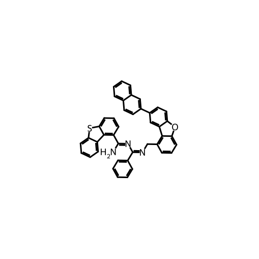 N/C(=N\C(=N/Cc1cccc2oc3ccc(-c4ccc5ccccc5c4)cc3c12)c1ccccc1)c1cccc2sc3ccccc3c12